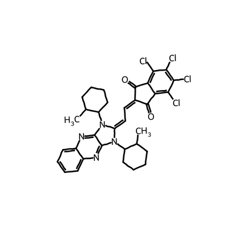 CC1CCCCC1N1C(=CC=C2C(=O)c3c(Cl)c(Cl)c(Cl)c(Cl)c3C2=O)N(C2CCCCC2C)c2nc3ccccc3nc21